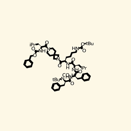 CC(C)C[C@@H](NC(=O)[C@@H](Cc1ccccc1)NC(=O)[C@@H](Cc1ccccc1)N(C(=O)O)C(C)(C)C)C(=O)N[C@H](CCCCNC(=O)OC(C)(C)C)C(=O)N1CC2(CCN(C(=O)[C@@H](CC(C)C)NC(=O)OCc3ccccc3)CC2)C1